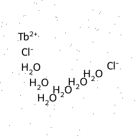 O.O.O.O.O.O.[Cl-].[Cl-].[Tb+2]